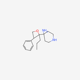 CCCC1(C2(N)CCNCC2)OCC1c1ccccc1